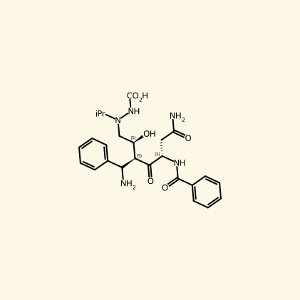 CC(C)N(C[C@@H](O)[C@@H](C(=O)[C@H](CC(N)=O)NC(=O)c1ccccc1)C(N)c1ccccc1)NC(=O)O